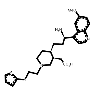 COc1ccc2nccc([C@H](N)CC[C@@H]3CCN(CCSc4cccs4)C[C@@H]3CC(=O)O)c2c1